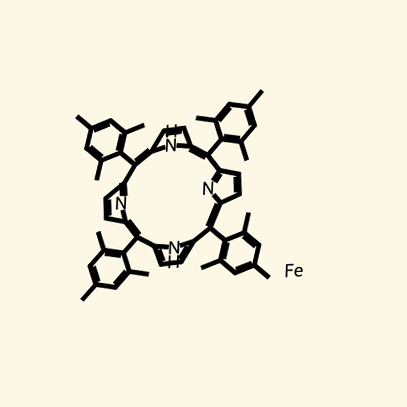 Cc1cc(C)c(-c2c3nc(c(-c4c(C)cc(C)cc4C)c4ccc([nH]4)c(-c4c(C)cc(C)cc4C)c4nc(c(-c5c(C)cc(C)cc5C)c5ccc2[nH]5)C=C4)C=C3)c(C)c1.[Fe]